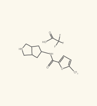 O=C(NC1CC2CNCC2C1)c1ccc(C(F)(F)F)o1.O=C(O)C(F)(F)F